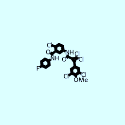 COc1c(Cl)cc(C2C(C(=O)Nc3ccc(Cl)c(C(=O)Nc4ccc(F)cc4)c3)C2(Cl)Cl)cc1Cl